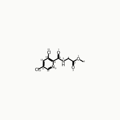 COC(=O)CNC(=O)c1ncc(Cl)cc1Cl